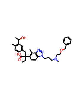 CCC(Cc1ccc(C)c(C(C)O)c1)(C(=O)O)c1ccc2c(nnn2CCCN(C)CCOCc2ccccc2)c1C